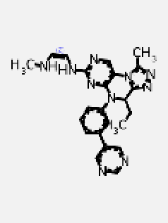 CCC1c2nnc(C)n2-c2cnc(N/C=C\NC)nc2N1c1cccc(-c2cncnc2)c1